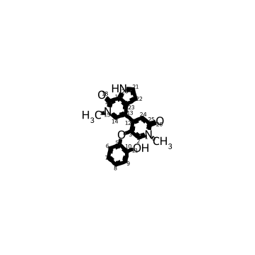 Cn1cc(Oc2ccccc2O)c(-c2cn(C)c(=O)c3[nH]ccc23)cc1=O